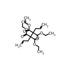 C=CCC(C(=O)OCC)(C(=O)OCC)C(CC=C)(C(=O)OCC)C(=O)OCC